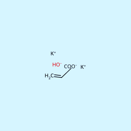 C=CC(=O)[O-].[K+].[K+].[OH-]